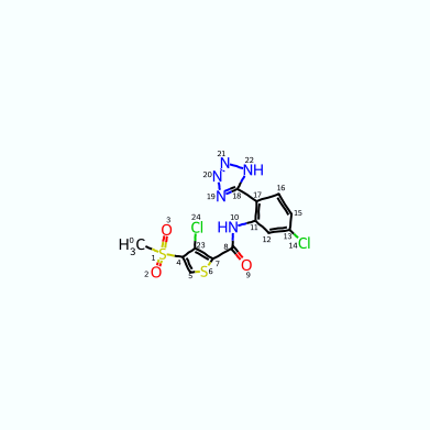 CS(=O)(=O)c1csc(C(=O)Nc2cc(Cl)ccc2-c2nnn[nH]2)c1Cl